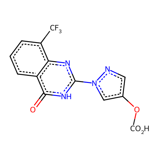 O=C(O)Oc1cnn(-c2nc3c(C(F)(F)F)cccc3c(=O)[nH]2)c1